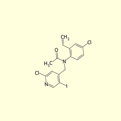 C=Cc1cc(Cl)ccc1N(Cc1cc(Cl)ncc1I)C(C)=O